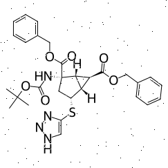 CC(C)(C)OC(=O)N[C@@]1(C(=O)OCc2ccccc2)C[C@@H](Sc2c[nH]nn2)[C@H]2[C@H](C(=O)OCc3ccccc3)[C@H]21